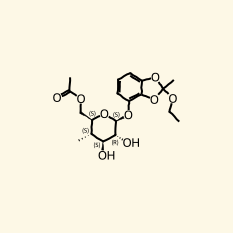 CCOC1(C)Oc2cccc(O[C@@H]3O[C@H](COC(C)=O)[C@@H](C)[C@H](O)[C@H]3O)c2O1